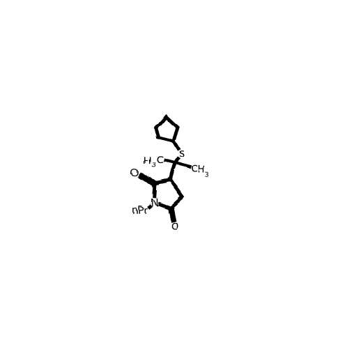 CCCN1C(=O)CC(C(C)(C)SC2CCCC2)C1=O